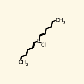 CCCC/C=C/B(Cl)/C=C/CCCC